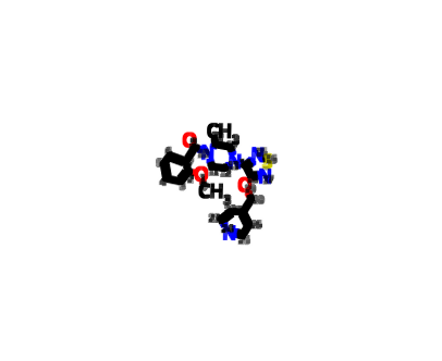 COc1ccccc1C(=O)N1CCN(c2nsnc2OCc2ccncc2)CC1C